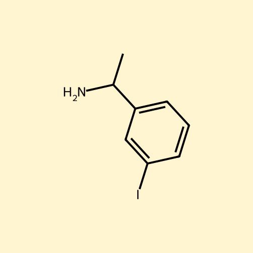 CC(N)c1cccc(I)c1